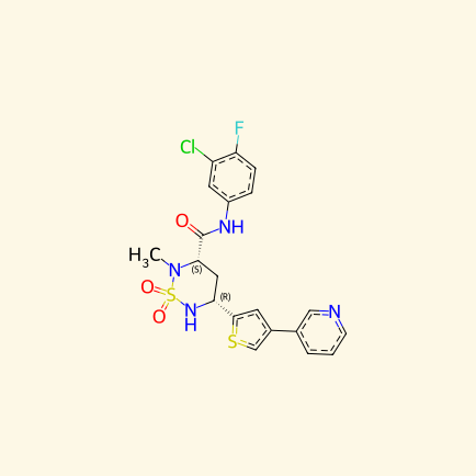 CN1[C@H](C(=O)Nc2ccc(F)c(Cl)c2)C[C@H](c2cc(-c3cccnc3)cs2)NS1(=O)=O